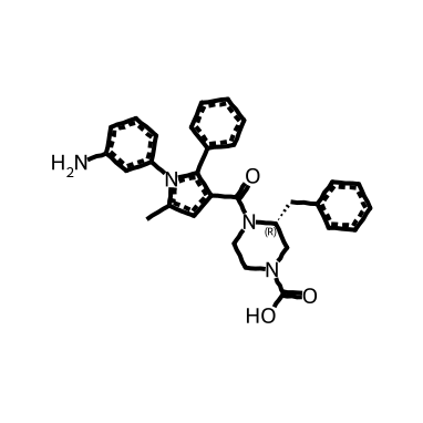 Cc1cc(C(=O)N2CCN(C(=O)O)C[C@H]2Cc2ccccc2)c(-c2ccccc2)n1-c1cccc(N)c1